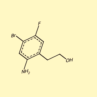 Nc1cc(Br)c(F)cc1CCO